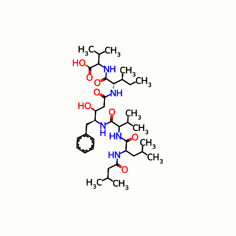 CC[C@H](C)[C@H](NC(=O)C[C@H](O)[C@H](Cc1ccccc1)NC(=O)C(NC(=O)C(CC(C)C)NC(=O)CC(C)C)C(C)C)C(=O)NC(C(=O)O)C(C)C